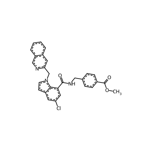 COC(=O)c1ccc(CNC(=O)c2cc(Cl)cc3ccn(Cc4cc5ccccc5cn4)c23)cc1